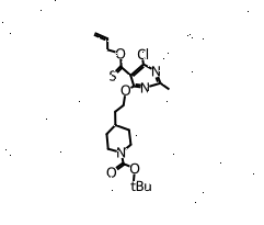 C=CCOC(=S)c1c(Cl)nc(C)nc1OCCC1CCN(C(=O)OC(C)(C)C)CC1